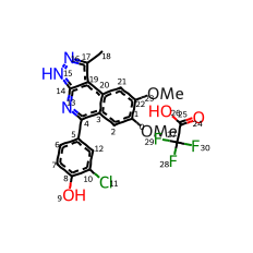 COc1cc2c(-c3ccc(O)c(Cl)c3)nc3[nH]nc(C)c3c2cc1OC.O=C(O)C(F)(F)F